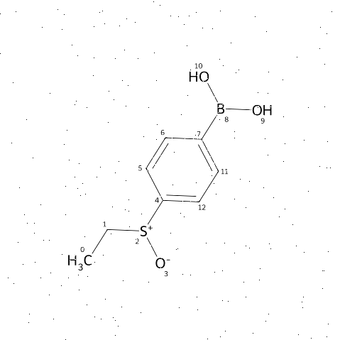 CC[S+]([O-])c1ccc(B(O)O)cc1